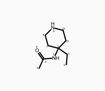 CCC1(NC(C)=O)CCNCC1